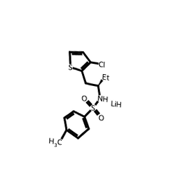 CC[C@H](Cc1sccc1Cl)NS(=O)(=O)c1ccc(C)cc1.[LiH]